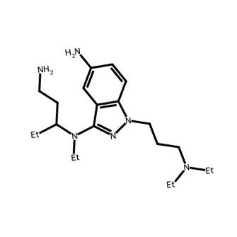 CCC(CCN)N(CC)c1nn(CCCN(CC)CC)c2ccc(N)cc12